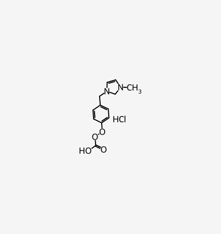 CN1C=CN(Cc2ccc(OOC(=O)O)cc2)C1.Cl